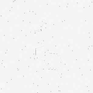 COC(=O)C[C@H]1COc2cc(C)ccc21